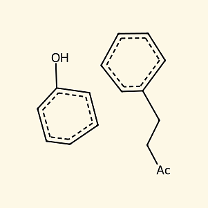 CC(=O)CCc1ccccc1.Oc1ccccc1